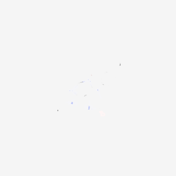 CCCC(CC)Nc1nc(C)nc2c1NC(=O)CN2c1ccc(C(C)C)cc1Br